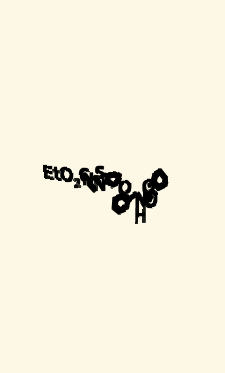 CCOC(=O)N1C=CN2c3cc(Oc4ccccc4CNC(=O)Oc4ccccc4)ccc3SC12